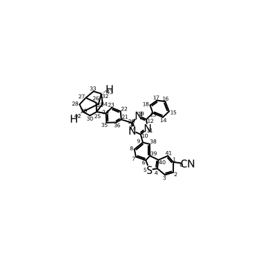 N#Cc1ccc2sc3ccc(-c4nc(-c5ccccc5)nc(-c5ccc(C67CC8C[C@H](C6)C[C@@H](C8)C7)cc5)n4)cc3c2c1